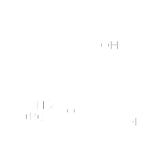 CC(C)(C)[SiH](Oc1cc(CO)cc(CO)c1)c1ccccc1